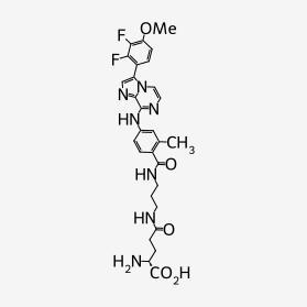 COc1ccc(-c2cnc3c(Nc4ccc(C(=O)NCCCNC(=O)CC[C@H](N)C(=O)O)c(C)c4)nccn23)c(F)c1F